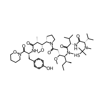 CC[C@H](C)[C@@H]([C@@H](CC(=O)N1CCC[C@H]1[C@H](OC)[C@@H](C)C(=O)N[C@@H](Cc1ccc(O)cc1)C(=O)N1CCCCO1)OC)N(C)C(=O)[C@@H](NC(=O)[C@H](C(C)C)N(C)C(C)(C)S)C(C)C